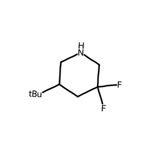 CC(C)(C)C1CNCC(F)(F)C1